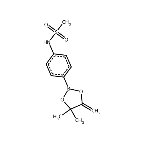 C=C1OB(c2ccc(NS(C)(=O)=O)cc2)OC1(C)C